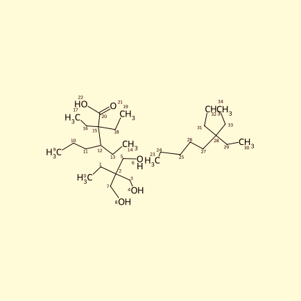 CCC(CO)(CO)CO.CCCC(CC)C(CC)(CC)C(=O)O.CCCCCC(CC)(CC)CC